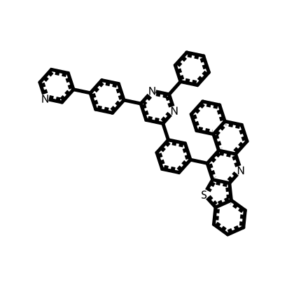 c1ccc(-c2nc(-c3ccc(-c4cccnc4)cc3)cc(-c3cccc(-c4c5sc6ccccc6c5nc5ccc6ccccc6c45)c3)n2)cc1